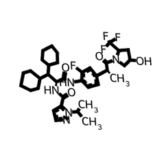 CC(C)n1nccc1C(=O)N[C@H](C(=O)Nc1ccc([C@H](C)C(=O)N2CC(O)CC2C(F)(F)F)cc1F)C(C1CCCCC1)C1CCCCC1